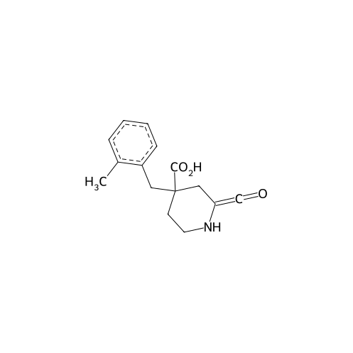 Cc1ccccc1CC1(C(=O)O)CCNC(=C=O)C1